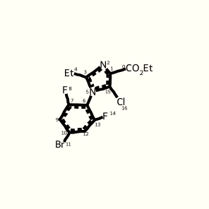 CCOC(=O)c1nc(CC)n(-c2c(F)cc(Br)cc2F)c1Cl